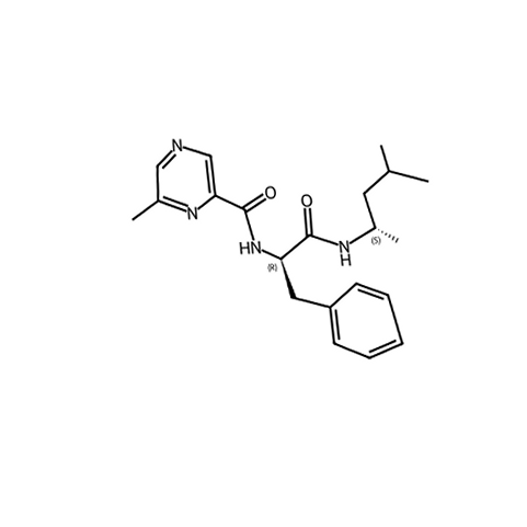 Cc1cncc(C(=O)N[C@H](Cc2ccccc2)C(=O)N[C@@H](C)CC(C)C)n1